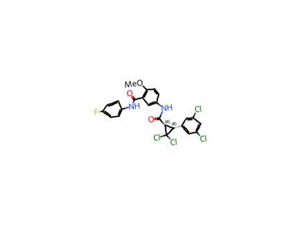 COc1ccc(NC(=O)[C@H]2[C@H](c3cc(Cl)cc(Cl)c3)C2(Cl)Cl)cc1C(=O)Nc1ccc(F)cc1